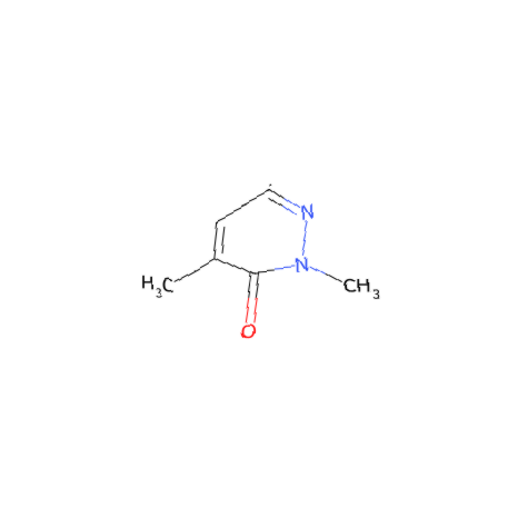 Cc1c[c]nn(C)c1=O